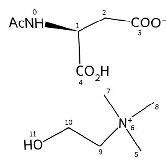 CC(=O)N[C@@H](CC(=O)[O-])C(=O)O.C[N+](C)(C)CCO